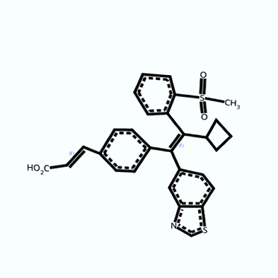 CS(=O)(=O)c1ccccc1/C(=C(\c1ccc(/C=C/C(=O)O)cc1)c1ccc2scnc2c1)C1CCC1